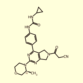 C[C@H]1COCCN1c1nc2c(c(-c3ccc(NC(=O)NC4CC4)cc3)n1)CN(C(=O)CC#N)C2